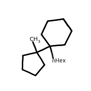 CCCCCCC1(C2(C)CCCC2)CCCCC1